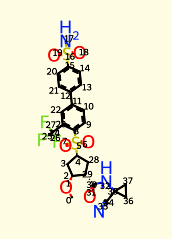 CO[C@H]1C[C@@H](S(=O)(=O)c2ccc(-c3ccc(S(N)(=O)=O)cc3)cc2C(F)(F)F)C[C@@H]1C(=O)NC1(C#N)CC1